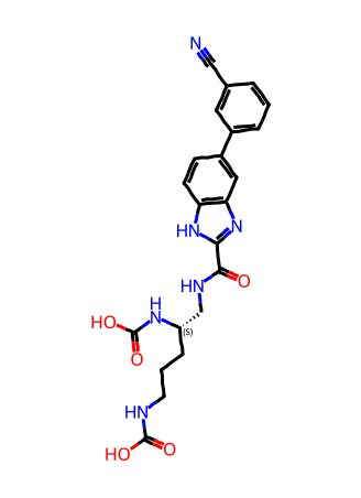 N#Cc1cccc(-c2ccc3[nH]c(C(=O)NC[C@H](CCCNC(=O)O)NC(=O)O)nc3c2)c1